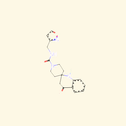 O=C1CC2(CCN(C(=O)NCc3ccon3)CC2)N(F)c2ccccc21